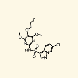 COc1nc(NS(=O)(=O)c2cnn3cc(Cl)ccc23)nc(OC)c1OCCF